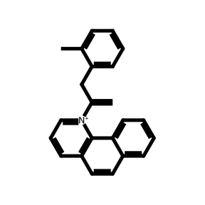 C=C(Cc1ccccc1C)[n+]1cccc2ccc3ccccc3c21